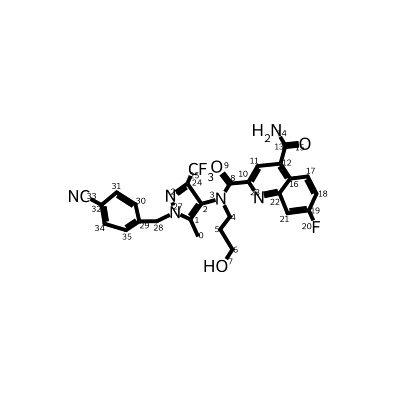 Cc1c(N(CCCO)C(=O)c2cc(C(N)=O)c3ccc(F)cc3n2)c(C(F)(F)F)nn1Cc1ccc(C#N)cc1